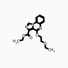 CCOCCOc1nc2ccccc2n2cnc(C(=O)OCC)c12